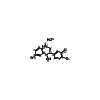 CNC[C@@H](c1ccc(Cl)c(Cl)c1)[C@@H](O)c1cccc(Br)c1.Cl